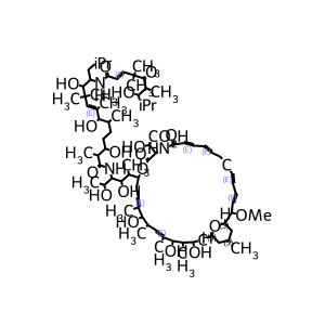 COC1/C=C/C=C/CC/C=C/C=C/C(=O)NC(C(O)C(=O)O)C(=O)OC(C(C)C(O)C(NC(=O)C(C)C(O)CCC(C)C(O)/C(C)=C/C(C)(C)C(O)C(CC(C)C)NC(=O)/C=C/C(C)(C)C(=O)C(C)C(O)C(C)C)C(C)O)C/C=C(\C)C(O)C(C)/C=C(\C)C(O)C(C)C(O)C[C@@H]2C[C@H](C)C[C@@H]1O2